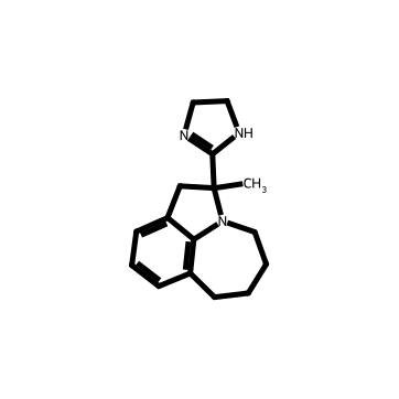 CC1(C2=NCCN2)Cc2cccc3c2N1CCCC3